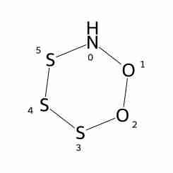 N1OOSSS1